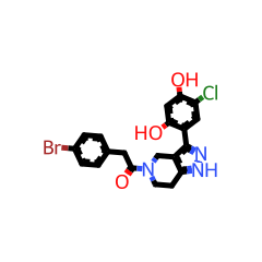 O=C(Cc1ccc(Br)cc1)N1CCc2[nH]nc(-c3cc(Cl)c(O)cc3O)c2C1